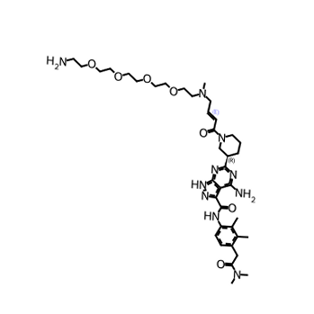 Cc1c(CC(=O)N(C)C)ccc(NC(=O)c2n[nH]c3nc([C@@H]4CCCN(C(=O)/C=C/CN(C)CCOCCOCCOCCOCCN)C4)nc(N)c23)c1C